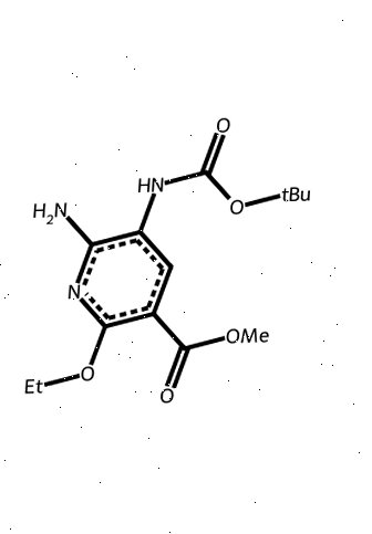 CCOc1nc(N)c(NC(=O)OC(C)(C)C)cc1C(=O)OC